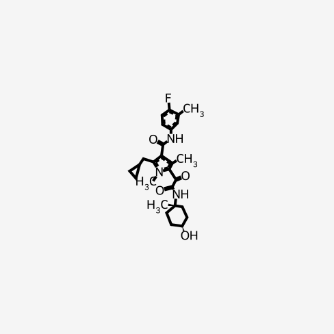 Cc1cc(NC(=O)c2c(C)c(C(=O)C(=O)N[C@]3(C)CC[C@H](O)CC3)n(C)c2CC2CC2)ccc1F